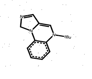 CC(C)(C)N1C=C2C=NCN2c2ccccc21